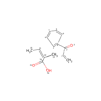 C=CC(=O)c1ccccc1.CC=C(C)C(=O)O